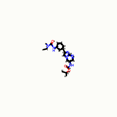 CCN(C)C(=O)Nc1cccc(-c2cn3cc(NC(=O)OC(C)C)cnc3n2)c1